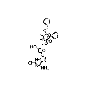 C[C@H](NP(=O)(OC[C@H]1O[C@@H](n2cnc3c(N)nc(Cl)nc32)CC1O)Oc1ccccc1)C(=O)OCc1ccccc1